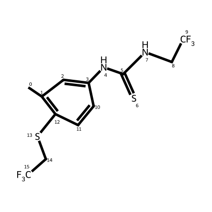 Cc1cc(NC(=S)NCC(F)(F)F)ccc1SCC(F)(F)F